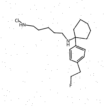 FCCc1ccc(C2(NCCCCCNCl)CCCCC2)cc1